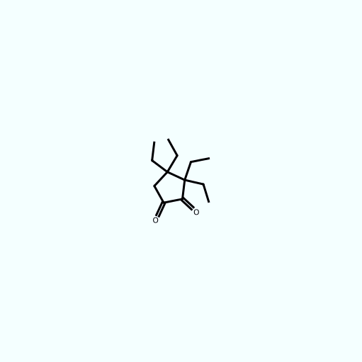 CCC1(CC)CC(=O)C(=O)C1(CC)CC